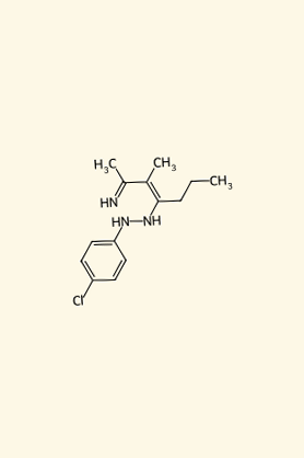 CCCC(NNc1ccc(Cl)cc1)=C(C)C(C)=N